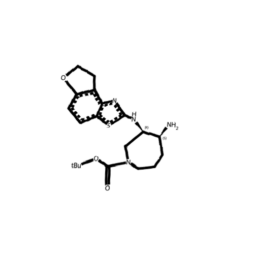 CC(C)(C)OC(=O)N1CCC[C@H](N)[C@H](Nc2nc3c4c(ccc3s2)OCC4)C1